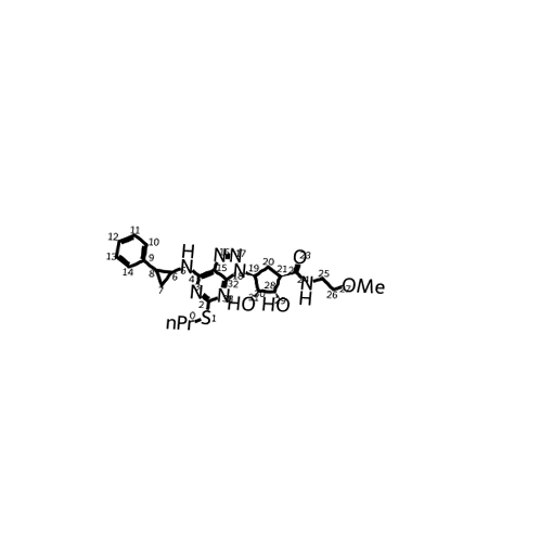 CCCSc1nc(NC2CC2c2ccccc2)c2nnn([C@H]3C[C@@H](C(=O)NCCOC)[C@H](O)[C@@H]3O)c2n1